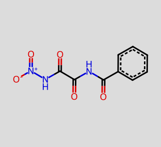 O=C(NC(=O)c1ccccc1)C(=O)N[N+](=O)[O-]